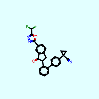 N#CC1(c2ccc(-c3ccccc3C3Cc4ccc(-c5nnc(C(F)F)o5)cc4C3=O)cc2)CC1